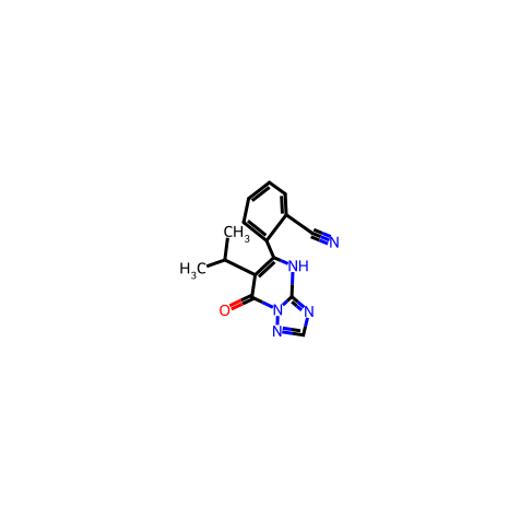 CC(C)c1c(-c2ccccc2C#N)[nH]c2ncnn2c1=O